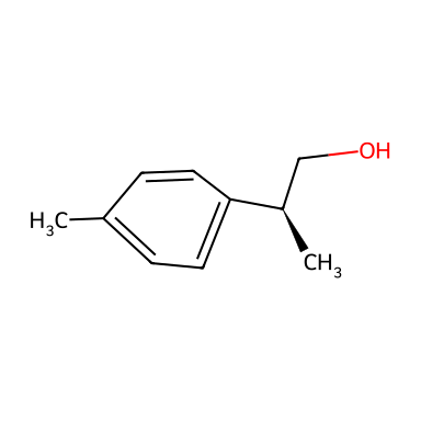 Cc1ccc([C@H](C)CO)cc1